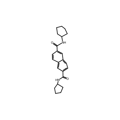 O=C(NC1CCCCC1)c1ccc2cc(C(=O)NC3CCCC3)ccc2c1